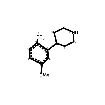 COc1ccc(C(=O)O)c(C2CCNCC2)c1